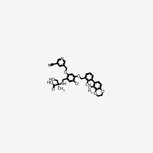 Cc1c(COc2cc(OCc3cncc(C#N)c3)c(CN[C@](C)(CO)C(=O)O)cc2Cl)cccc1-c1ccc2c(c1C)OCCO2